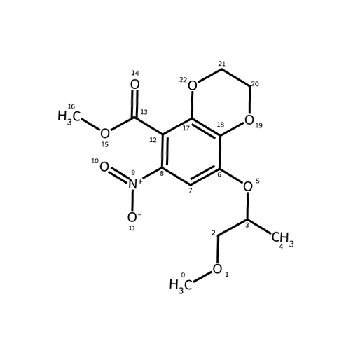 COCC(C)Oc1cc([N+](=O)[O-])c(C(=O)OC)c2c1OCCO2